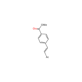 COC(=O)c1ccc(/C=C/C(C)=O)cc1